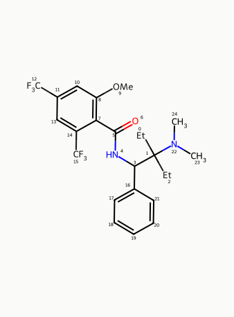 CCC(CC)(C(NC(=O)c1c(OC)cc(C(F)(F)F)cc1C(F)(F)F)c1ccccc1)N(C)C